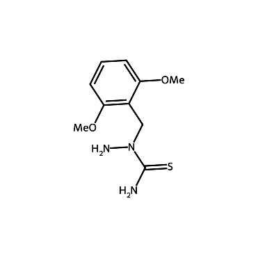 COc1cccc(OC)c1CN(N)C(N)=S